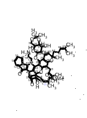 COC(=O)/C(C)=C\CC1(O)C(=O)C2CC(C(C)C)C13Oc1c(CC=C(C)C)c4c(c(O[C@H]5O[C@H]6COC(C)(C)O[C@@H]6[C@@H](O)[C@@H]5O)c1C1=C3C2C2=C(c3ccccc3C2=O)N1CCN)C=CC(C)(CCC=C(C)C)O4